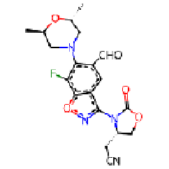 C[C@@H]1CN(c2c(C=O)cc3c(N4C(=O)OC[C@@H]4CC#N)noc3c2F)C[C@@H](C)O1